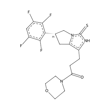 O=C(CCc1[nH]c(=S)n2c1C[C@H](c1c(F)c(F)cc(F)c1F)C2)N1CCOCC1